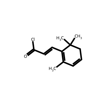 CC1=C(/C=C/C(=O)Cl)C(C)(C)CC=C1